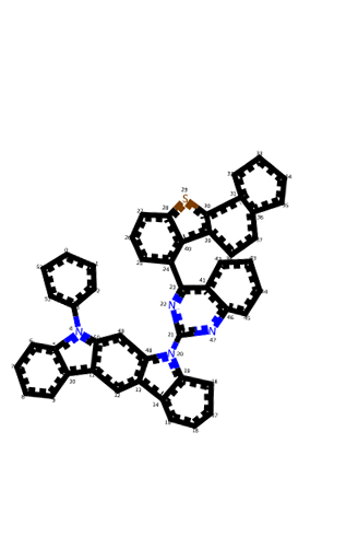 c1ccc(-n2c3ccccc3c3cc4c5ccccc5n(-c5nc(-c6cccc7sc8c9ccccc9ccc8c67)c6ccccc6n5)c4cc32)cc1